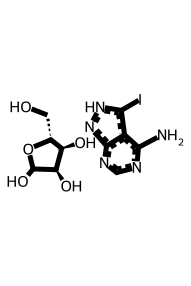 Nc1ncnc2n[nH]c(I)c12.OC[C@H]1OC(O)[C@H](O)[C@@H]1O